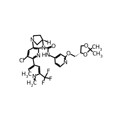 C=N/C(=C\C(=C/C)c1nc2c(cc1Cl)N1CC[C@@H](C1)N2C(=O)Nc1ccnc(OC[C@@H]2COC(C)(C)O2)c1)C(F)(F)F